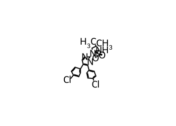 CC1(C)CN(c2ncc(-c3ccc(Cl)cc3)c(-c3ccc(Cl)cc3)n2)S(=O)(=O)N1